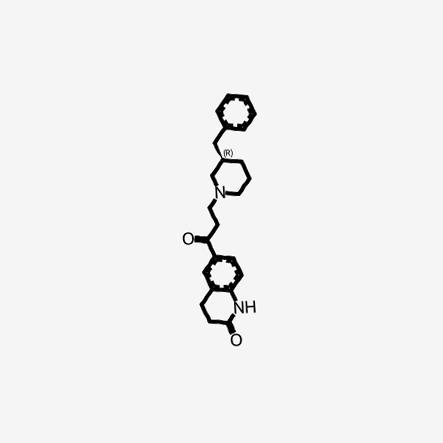 O=C1CCc2cc(C(=O)CCN3CCC[C@H](Cc4ccccc4)C3)ccc2N1